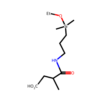 CCO[Si](C)(C)CCCNC(=O)C(C)CC(=O)O